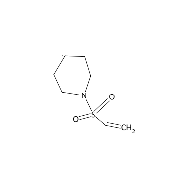 C=CS(=O)(=O)N1CC[CH]CC1